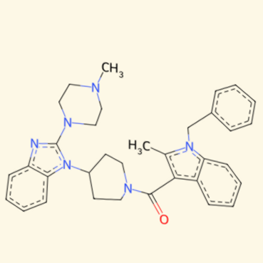 Cc1c(C(=O)N2CCC(n3c(N4CCN(C)CC4)nc4ccccc43)CC2)c2ccccc2n1Cc1ccccc1